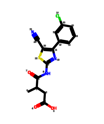 CC(CC(=O)O)C(=O)Nc1nc(-c2cccc(Cl)c2)c(C#N)s1